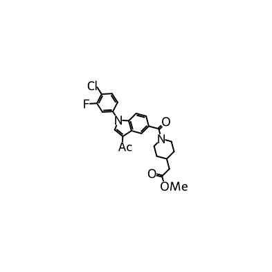 COC(=O)CC1CCN(C(=O)c2ccc3c(c2)c(C(C)=O)cn3-c2ccc(Cl)c(F)c2)CC1